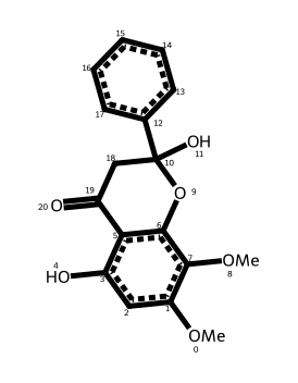 COc1cc(O)c2c(c1OC)OC(O)(c1ccccc1)CC2=O